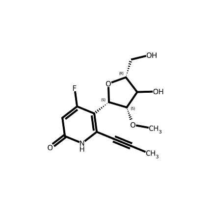 CC#Cc1[nH]c(=O)cc(F)c1[C@@H]1O[C@H](CO)C(O)[C@@H]1OC